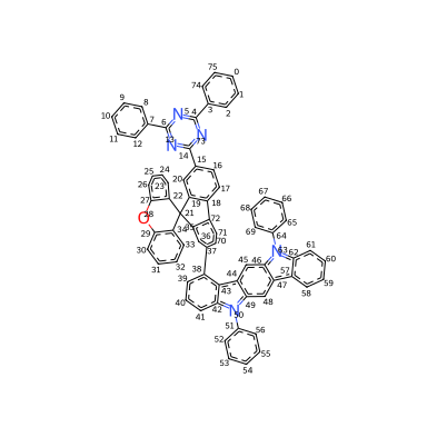 c1ccc(-c2nc(-c3ccccc3)nc(-c3ccc4c(c3)C3(c5ccccc5Oc5ccccc53)c3cc(-c5cccc6c5c5cc7c(cc5n6-c5ccccc5)c5ccccc5n7-c5ccccc5)ccc3-4)n2)cc1